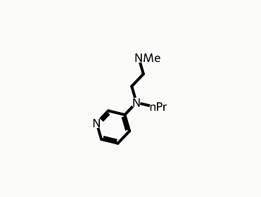 CCCN(CCNC)c1cccnc1